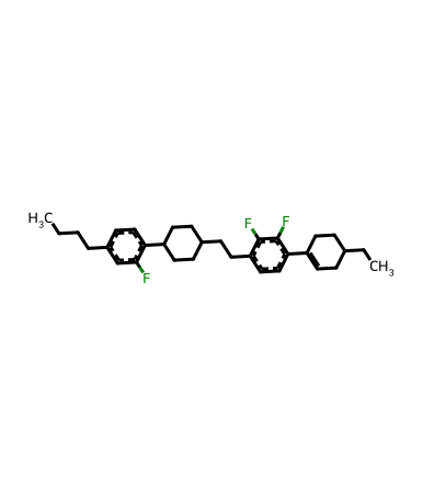 CCCCc1ccc(C2CCC(CCc3ccc(C4=CCC(CC)CC4)c(F)c3F)CC2)c(F)c1